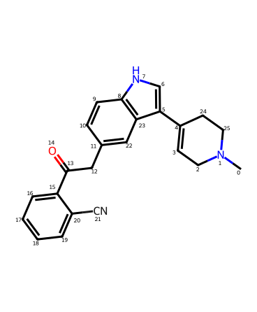 CN1CC=C(c2c[nH]c3ccc(CC(=O)c4ccccc4C#N)cc23)CC1